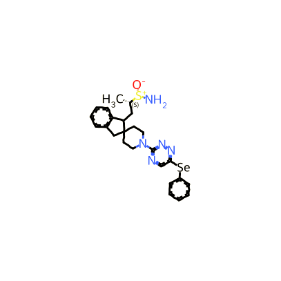 C[C@@H](CC1c2ccccc2CC12CCN(c1ncc([Se]c3ccccc3)nn1)CC2)[S+](N)[O-]